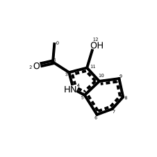 CC(=O)c1[nH]c2ccccc2c1O